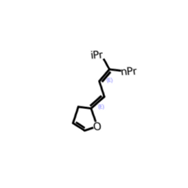 CCC/C(=C\C=C1/CC=CO1)C(C)C